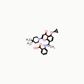 C[C@@H](Nc1ccccc1C(=O)O)c1ccc(OC2CC2)c2c(=O)cc(N3CCC(C)(C)CC3)oc12